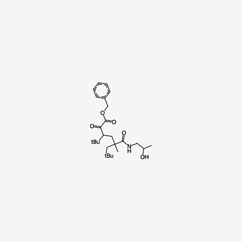 CC(O)CNC(=O)C(C)(CC(C(=O)C(=O)OCc1ccccc1)C(C)(C)C)CC(C)(C)C